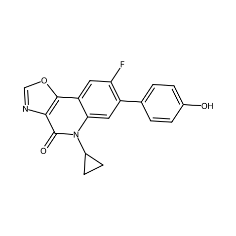 O=c1c2ncoc2c2cc(F)c(-c3ccc(O)cc3)cc2n1C1CC1